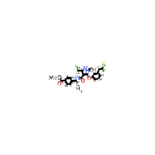 COC(=O)c1ccc([C@H](C)NC(=O)c2c(C(F)F)nn(C)c2Oc2cccc(C=C(F)F)c2)cc1